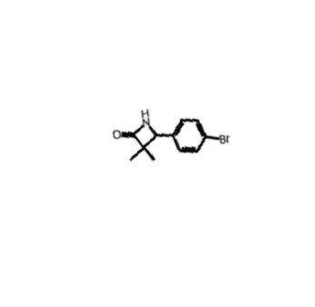 CC1(C)C(=O)NC1c1ccc(Br)cc1